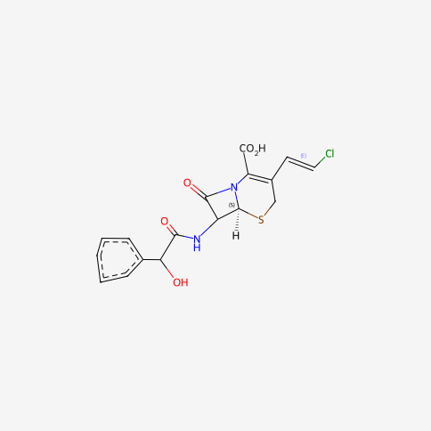 O=C(O)C1=C(/C=C/Cl)CS[C@H]2C(NC(=O)C(O)c3ccccc3)C(=O)N12